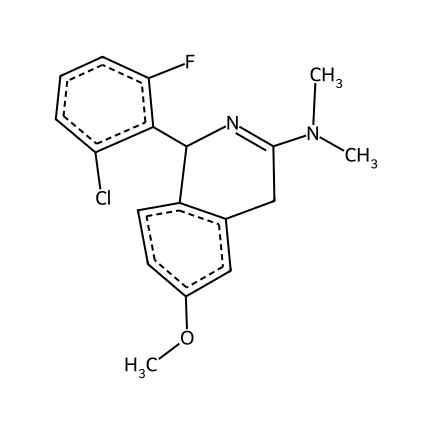 COc1ccc2c(c1)CC(N(C)C)=NC2c1c(F)cccc1Cl